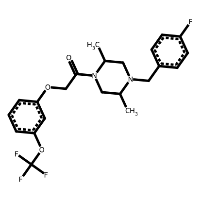 CC1CN(C(=O)COc2cccc(OC(F)(F)F)c2)C(C)CN1Cc1ccc(F)cc1